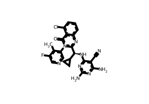 Cc1c(F)cncc1-n1c([C@@H](Nc2nc(N)nc(N)c2C#N)C2CC2)nc2cccc(Cl)c2c1=O